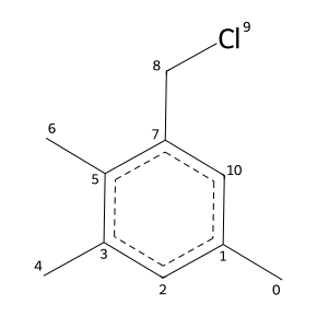 Cc1cc(C)c(C)c(CCl)c1